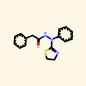 O=C(Cc1ccccc1)NN(C1=NCCS1)c1ccccc1